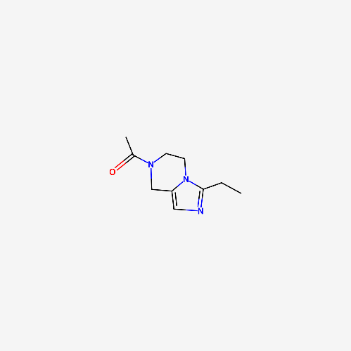 CCc1ncc2n1CCN(C(C)=O)C2